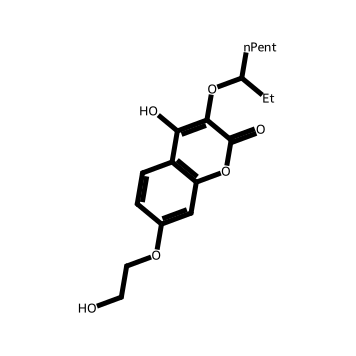 CCCCCC(CC)Oc1c(O)c2ccc(OCCO)cc2oc1=O